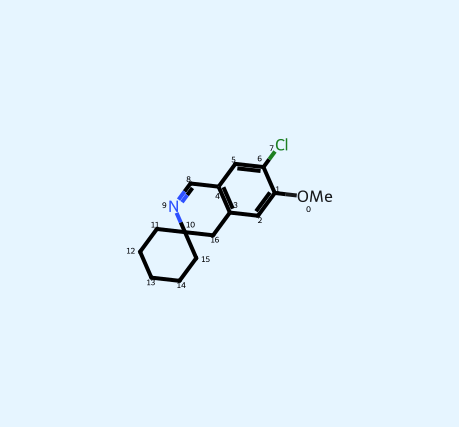 COc1cc2c(cc1Cl)C=NC1(CCCCC1)C2